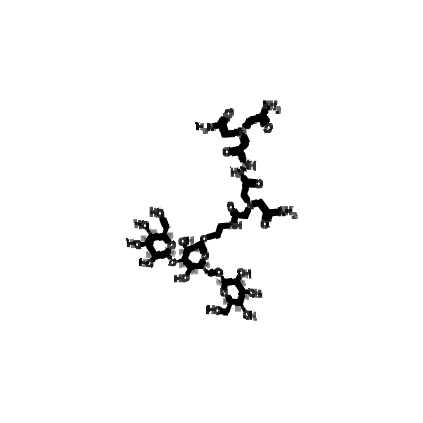 NC(=O)CN(CC(N)=O)CC(=O)NNC(=O)CN(CC(N)=O)CC(=O)NCCO[C@H]1O[C@H](CO[C@H]2O[C@H](CO)[C@@H](O)[C@H](O)[C@@H]2O)[C@@H](O)[C@H](O[C@H]2O[C@H](CO)[C@@H](O)[C@H](O)[C@@H]2O)[C@@H]1O